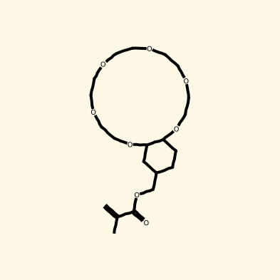 C=C(C)C(=O)OCC1CCC2OCCOCCOCCOCCOCCOC2C1